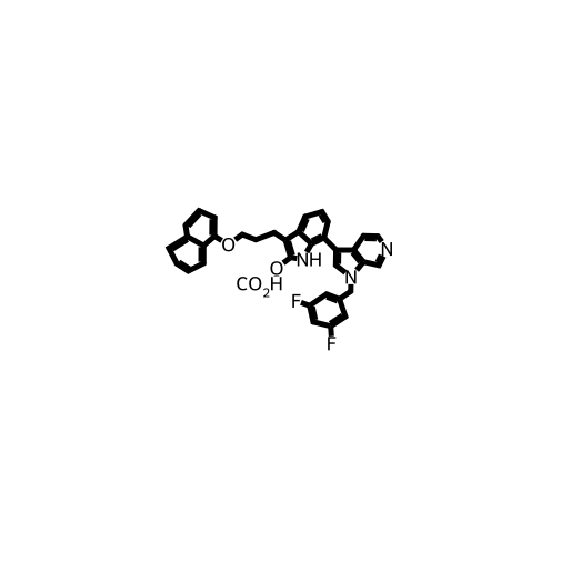 O=C(O)Oc1[nH]c2c(-c3cn(Cc4cc(F)cc(F)c4)c4cnccc34)cccc2c1CCCOc1cccc2ccccc12